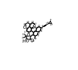 Cc1cc2cc(C#CC3CC3)ccc2c(-c2ccc3c4c(ccnc24)CCO3)c1[C@@H](OC(C)(C)C)C(=O)O